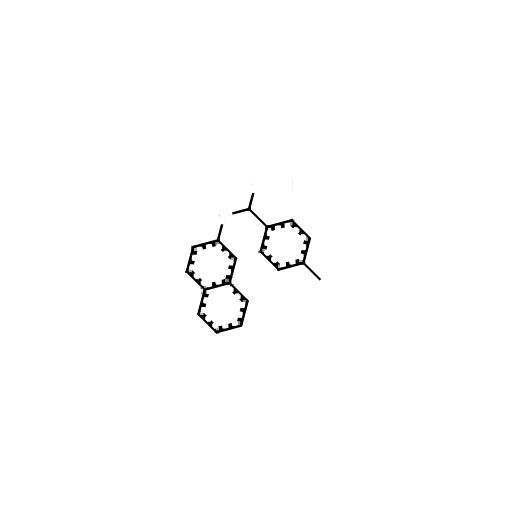 Cc1ccc(C(Oc2ccc3ccccc3c2)C(=O)O)cc1